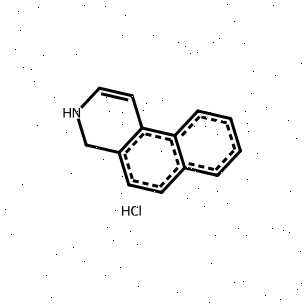 C1=Cc2c(ccc3ccccc23)CN1.Cl